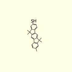 Cc1ccc2c(c1)C(C)(C)c1cc3c(cc1-2)C(C)(C)c1cc(S)ccc1-3